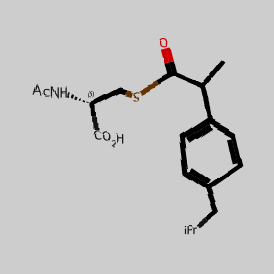 CC(=O)N[C@H](CSC(=O)C(C)c1ccc(CC(C)C)cc1)C(=O)O